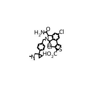 CN(C)CC1(c2ccc(CN3C(=O)c4c(-c5csc(C(=O)O)c5Cl)cc(Cl)cc4C3C(N)=O)cc2)CC1